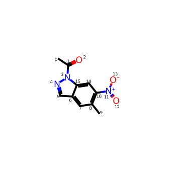 CC(=O)n1ncc2cc(C)c([N+](=O)[O-])cc21